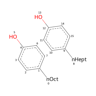 CCCCCCCCc1ccc(O)cc1.CCCCCCCc1ccc(O)cc1